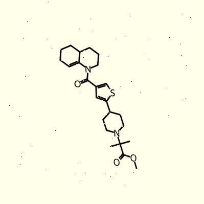 COC(=O)C(C)(C)N1CCC(c2cc(C(=O)N3CCCC4CCCC=C43)cs2)CC1